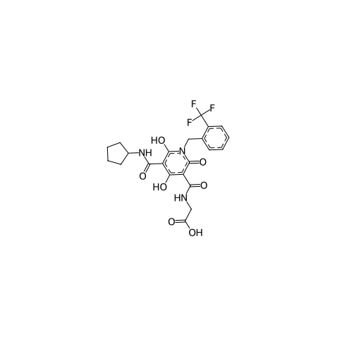 O=C(O)CNC(=O)c1c(O)c(C(=O)NC2CCCC2)c(O)n(Cc2ccccc2C(F)(F)F)c1=O